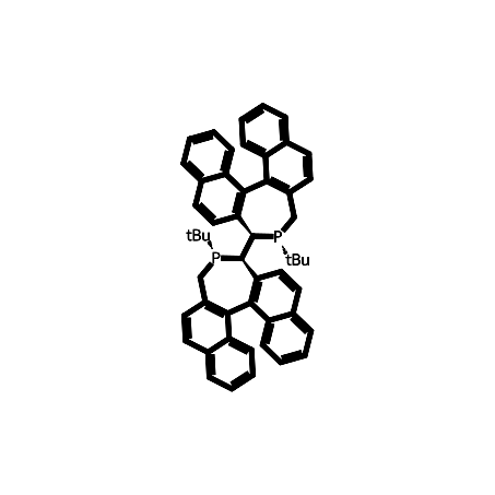 CC(C)(C)[P@@]1Cc2ccc3ccccc3c2-c2c(ccc3ccccc23)[C@@H]1[C@H]1c2ccc3ccccc3c2-c2c(ccc3ccccc23)C[P@]1C(C)(C)C